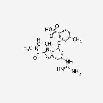 CN(C)C(=O)c1cc2cc(NC(=N)N)cc(Cl)c2n1C.Cc1ccc(S(=O)(=O)O)cc1